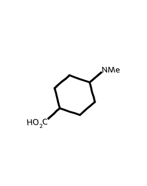 CNC1CCC(C(=O)O)CC1